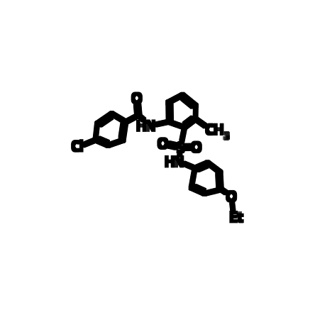 CCOc1ccc(NS(=O)(=O)c2c(C)cccc2NC(=O)c2ccc(Cl)cc2)cc1